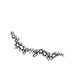 CC(=O)Cc1ccc(C(=O)Oc2ccc3cc(C(=O)OCCCCCOC(=O)c4ccc5cc(OC(=O)c6ccc(OC(C)=O)cc6)ccc5c4)ccc3c2)cc1